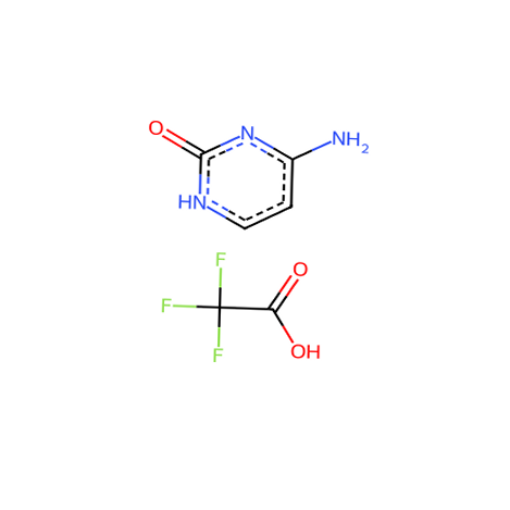 Nc1cc[nH]c(=O)n1.O=C(O)C(F)(F)F